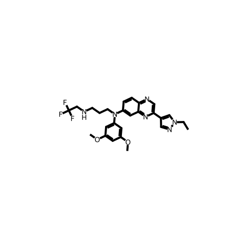 CCn1cc(-c2cnc3ccc(N(CCCNCC(F)(F)F)c4cc(OC)cc(OC)c4)cc3n2)cn1